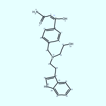 NC(=O)/C=C(/O)c1ccc(CN(CCO)CCc2c[nH]c3ccccc23)cc1